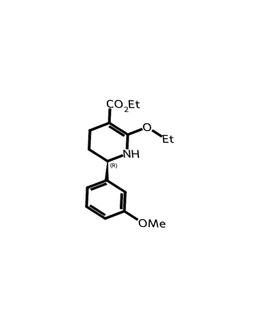 CCOC(=O)C1=C(OCC)N[C@@H](c2cccc(OC)c2)CC1